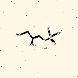 O=P([O-])([O-])OCC(O)CO.[Cu+2]